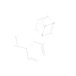 CCNc1ccccn1.O=C1c2cccc1c2